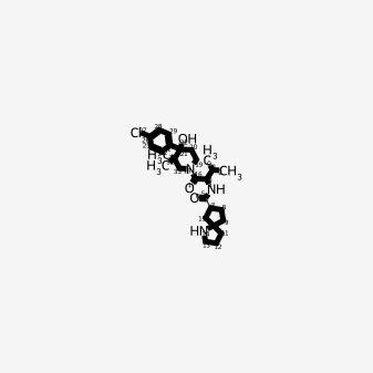 CC(C)C(NC(=O)[C@@H]1CCC2(CCCN2)C1)C(=O)N1CCC(O)(c2ccc(Cl)cc2)C(C)(C)C1